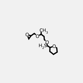 CC(CCO[SiH2]C1CCCCO1)OCC1CO1